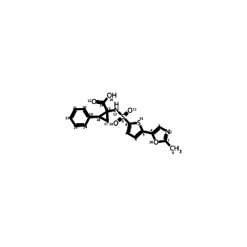 Cc1ncc(-c2ccc(S(=O)(=O)NC3(C(=O)O)CC3c3ccccc3)s2)o1